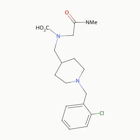 CNC(=O)CN(CC1CCN(Cc2ccccc2Cl)CC1)C(=O)O